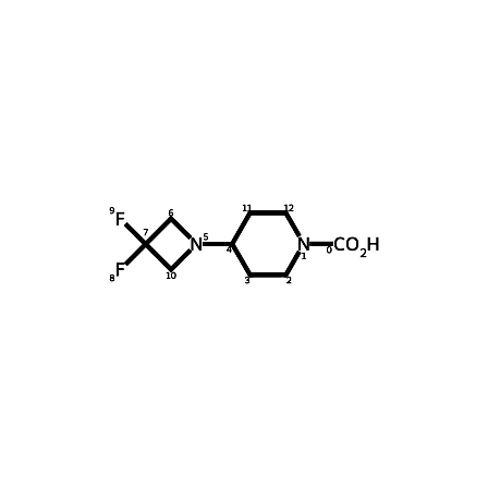 O=C(O)N1CCC(N2CC(F)(F)C2)CC1